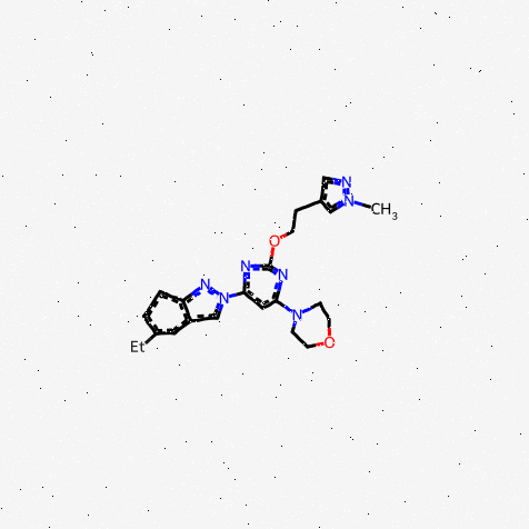 CCc1ccc2nn(-c3cc(N4CCOCC4)nc(OCCc4cnn(C)c4)n3)cc2c1